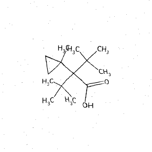 CC(C)(C)C(C(=O)O)(C(C)(C)C)C1(C)CC1